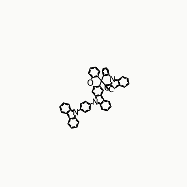 c1ccc2c(c1)Oc1cc3c(cc1C21c2ccccc2-n2c4ccccc4c4cccc1c42)c1ccccc1n3-c1ccc(-n2c3ccccc3c3ccccc32)cc1